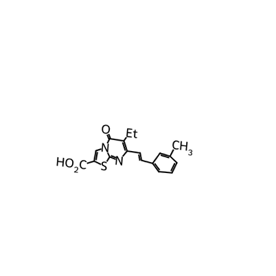 CCc1c(/C=C/c2cccc(C)c2)nc2sc(C(=O)O)cn2c1=O